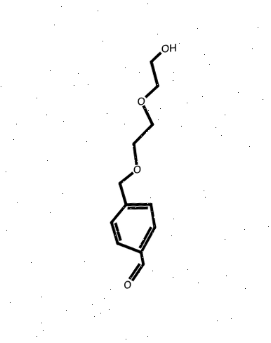 O=Cc1ccc(COCCOCCO)cc1